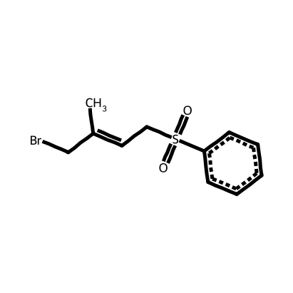 C/C(=C\CS(=O)(=O)c1ccccc1)CBr